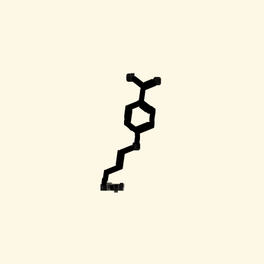 CCCCCCCCC=COc1ccc(C(=O)Cl)cc1